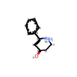 O=C1C=C(c2ccccc2)NCC1